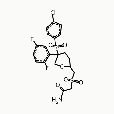 NC(=O)CS(=O)(=O)CC1CCC(c2cc(F)ccc2F)(S(=O)(=O)c2ccc(Cl)cc2)CC1